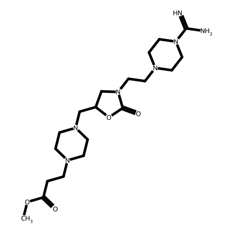 COC(=O)CCN1CCN(CC2CN(CCN3CCN(C(=N)N)CC3)C(=O)O2)CC1